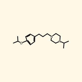 CC(C)Oc1ccc(CCCN2CCN(C(C)C)CC2)cc1